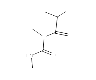 C=C(C(C)C)N(C)C(=O)NC